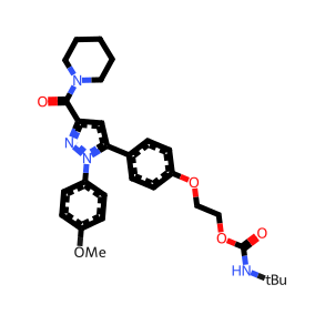 COc1ccc(-n2nc(C(=O)N3CCCCC3)cc2-c2ccc(OCCOC(=O)NC(C)(C)C)cc2)cc1